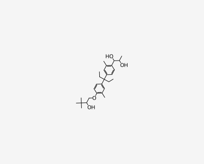 CCC(CC)(c1ccc(OCC(O)C(C)(C)C)c(C)c1)c1ccc(C(O)C(C)O)c(C)c1